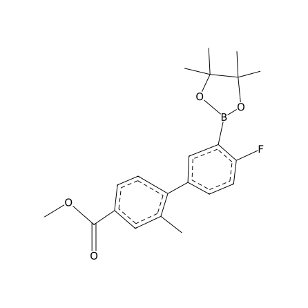 COC(=O)c1ccc(-c2ccc(F)c(B3OC(C)(C)C(C)(C)O3)c2)c(C)c1